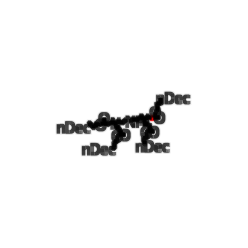 CCCCCCCCCCCCCOC(=O)CCN(CCCNCCCN(CCC(=O)OCCCCCCCCCCCCC)CCC(=O)OCCCCCCCCCCCCC)CCC(=O)OCCCCCCCCCCCCC